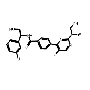 CCCN(CO)c1ncc(F)c(-c2ccc(C(=O)NC(CO)c3cccc(Cl)c3)cc2)n1